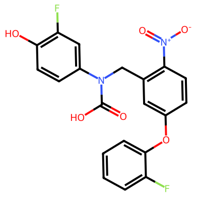 O=C(O)N(Cc1cc(Oc2ccccc2F)ccc1[N+](=O)[O-])c1ccc(O)c(F)c1